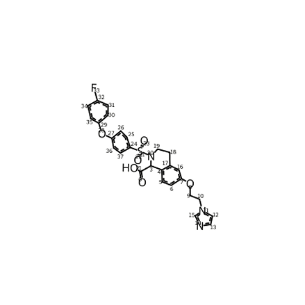 O=C(O)C1c2ccc(OCCn3ccnc3)cc2CCN1S(=O)(=O)c1ccc(Oc2ccc(F)cc2)cc1